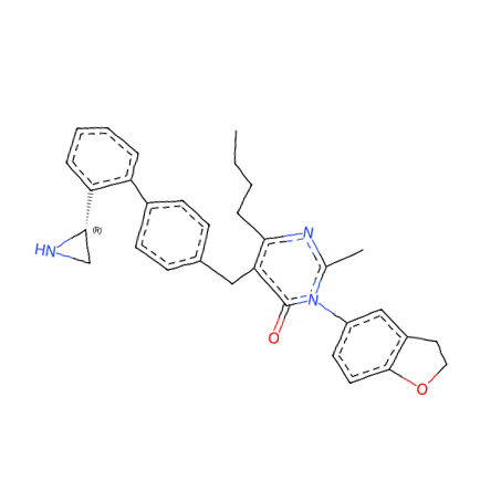 CCCCc1nc(C)n(-c2ccc3c(c2)CCO3)c(=O)c1Cc1ccc(-c2ccccc2[C@@H]2CN2)cc1